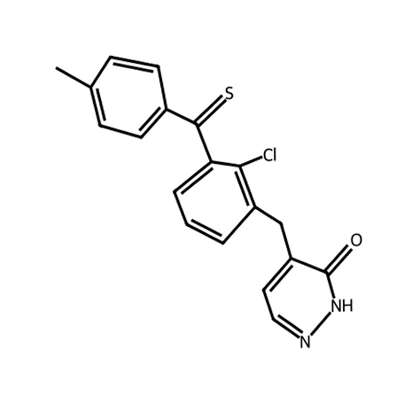 Cc1ccc(C(=S)c2cccc(Cc3ccn[nH]c3=O)c2Cl)cc1